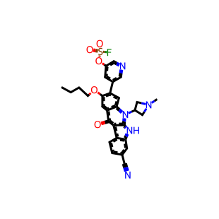 CCCCOc1cc2c(=O)c3c4ccc(C#N)cc4[nH]c3n(C3CN(C)C3)c2cc1-c1cncc(OS(=O)(=O)F)c1